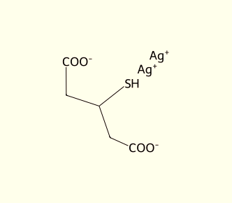 O=C([O-])CC(S)CC(=O)[O-].[Ag+].[Ag+]